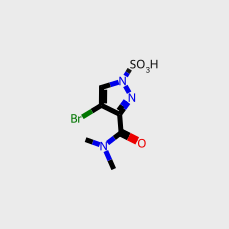 CN(C)C(=O)c1nn(S(=O)(=O)O)cc1Br